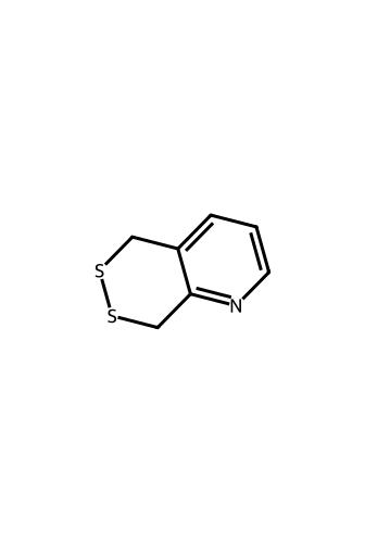 c1cnc2c(c1)CSSC2